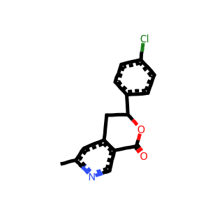 Cc1cc2c(cn1)C(=O)OC(c1ccc(Cl)cc1)C2